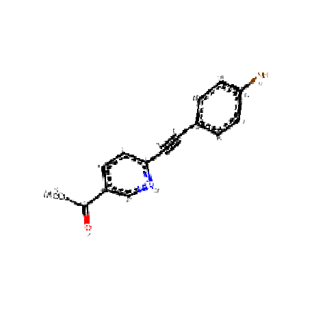 COC(=O)c1ccc(C#Cc2ccc(S)cc2)nc1